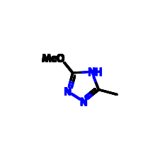 COc1nnc(C)[nH]1